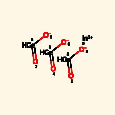 [In+3].[O]=[GeH][O-].[O]=[GeH][O-].[O]=[GeH][O-]